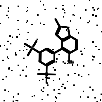 CC1=Cc2c(ccc(C(C)(C)C)c2-c2cc([Si](C)(C)C)cc([Si](C)(C)C)c2)[CH]1